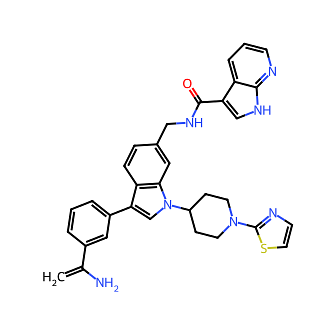 C=C(N)c1cccc(-c2cn(C3CCN(c4nccs4)CC3)c3cc(CNC(=O)c4c[nH]c5ncccc45)ccc23)c1